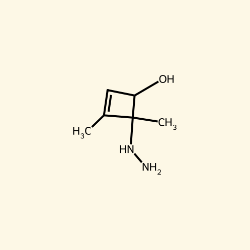 CC1=CC(O)C1(C)NN